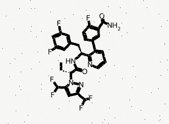 CC[C@H](C(=O)N[C@@H](Cc1cc(F)cc(F)c1)c1ncccc1-c1ccc(F)c(C(N)=O)c1)n1nc(C(F)F)cc1C(F)F